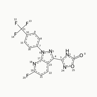 O=c1[nH]c(-c2nn(-c3ccc(C(F)(F)F)cc3)c3nc(F)ccc23)no1